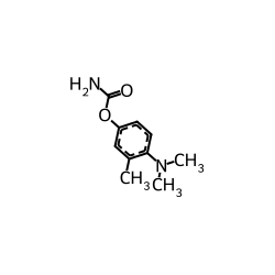 Cc1cc(OC(N)=O)ccc1N(C)C